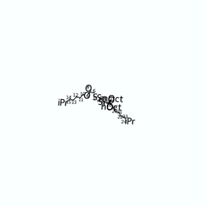 CCCCCCCCC(CCCCCCCC)([S][Sn][S]CC(=O)OCCCCCC(C)C)C(=O)OCCCCCC(C)C